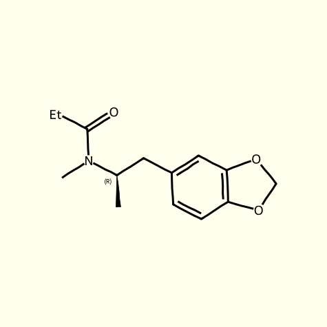 CCC(=O)N(C)[C@H](C)Cc1ccc2c(c1)OCO2